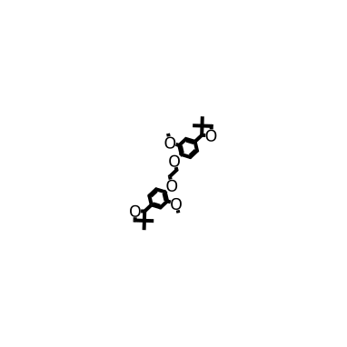 COc1cc(C2OCC2(C)C)ccc1OCCOc1ccc(C2OCC2(C)C)cc1OC